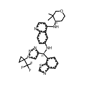 CC1(C)COCC[C@H]1Nc1ccnc2ccc(N[C@H](c3cn(C4(C(F)(F)F)CC4)nn3)c3cccc4ncsc34)cc12